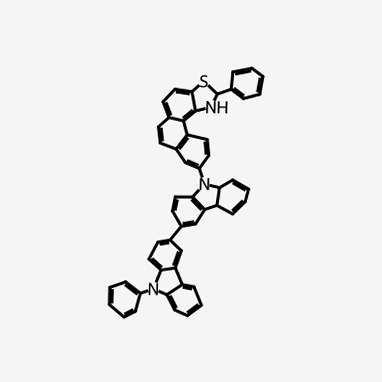 C1=CC2c3cc(-c4ccc5c(c4)c4ccccc4n5-c4ccccc4)ccc3N(c3ccc4c(ccc5ccc6c(c54)NC(c4ccccc4)S6)c3)C2C=C1